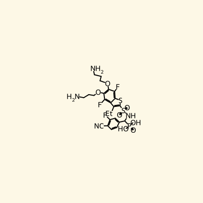 CCc1c(S(=O)(=O)NC(c2ccc(C#N)c(F)c2)P(=O)(O)O)sc2c(F)c(OCCCN)c(OCCCN)c(F)c12